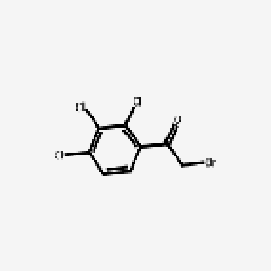 O=C(CBr)c1ccc(Cl)c(Cl)c1Cl